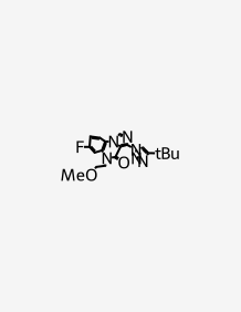 COCCn1c(=O)c2c(-n3cc(C(C)(C)C)nn3)ncn2c2ccc(F)cc21